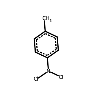 Cc1ccc(N(Cl)Cl)cc1